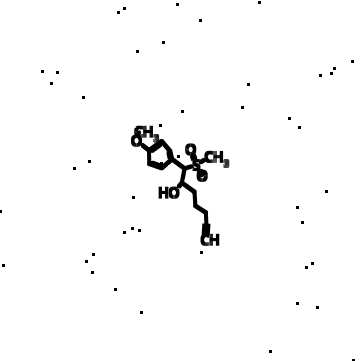 C#CCCCC(O)C(c1ccc(OC)cc1)S(C)(=O)=O